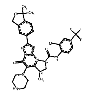 C[C@@H]1C[C@H](C(=O)Nc2ccc(C(F)(F)F)cc2Cl)n2c1c(N1CCNCC1)c(=O)n1nc(-c3ccc4c(c3)COC4(C)C)nc21